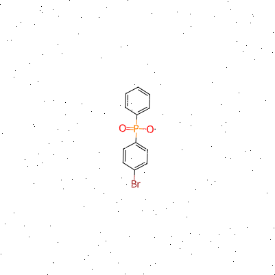 [O]P(=O)(c1ccccc1)c1ccc(Br)cc1